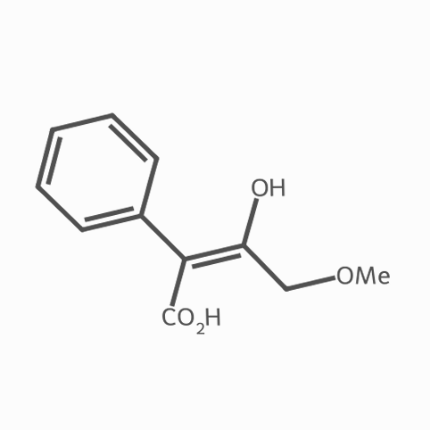 COCC(O)=C(C(=O)O)c1ccccc1